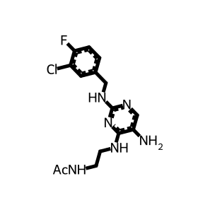 CC(=O)NCCNc1nc(NCc2ccc(F)c(Cl)c2)ncc1N